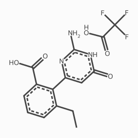 CCc1cccc(C(=O)O)c1-c1cc(=O)[nH]c(N)n1.O=C(O)C(F)(F)F